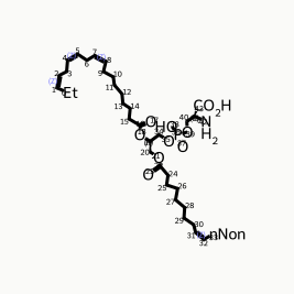 CC/C=C\C/C=C\C/C=C\CCCCCCCC(=O)O[C@H](COC(=O)CCCCCCC/C=C\CCCCCCCCC)COP(=O)(O)OC[C@H](N)C(=O)O